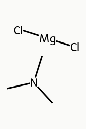 CN(C)C.[Cl][Mg][Cl]